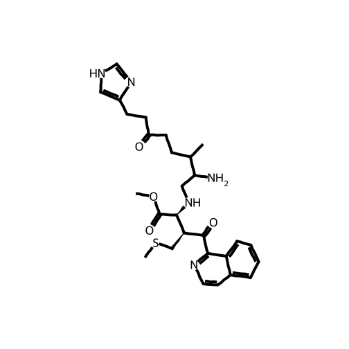 COC(=O)[C@@H](NCC(N)C(C)CCC(=O)CCc1c[nH]cn1)[C@H](CSC)C(=O)c1nccc2ccccc12